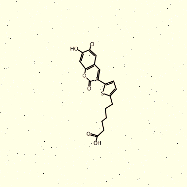 O=C(O)CCCCCc1ccc(-c2cc3cc(Cl)c(O)cc3oc2=O)s1